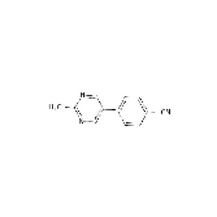 Cc1ncc(-c2ccc(C#N)cc2)cn1